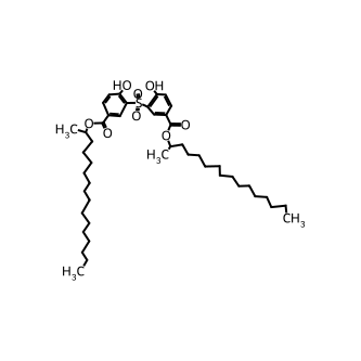 CCCCCCCCCCCCCCC(C)OC(=O)c1ccc(O)c(S(=O)(=O)c2cc(C(=O)OC(C)CCCCCCCCCCCCCC)ccc2O)c1